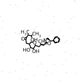 C/C(=C\c1ncc(-c2ccccc2)o1)CC1OCC(CC2OC2C(C)C(C)O)C(O)C1O